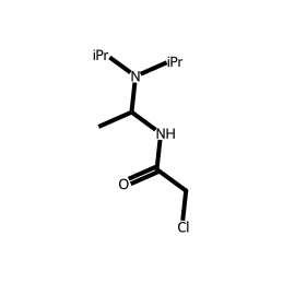 CC(C)N(C(C)C)C(C)NC(=O)CCl